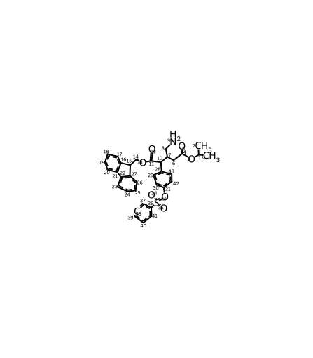 CC(C)OC(=O)CC(CN)C(C(=O)OCC1c2ccccc2-c2ccccc21)c1ccc(OS(=O)(=O)c2ccccc2)cc1